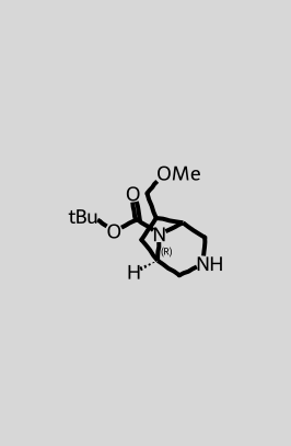 COCC1C[C@@H]2CNCC1N2C(=O)OC(C)(C)C